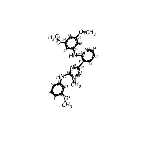 COc1cccc(Nc2nc(-c3cccnc3Nc3cc(OC)cc(OC)c3)nn2C)c1